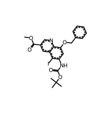 COC(=O)c1cnc2c(OCc3ccccc3)cc(NC(=O)OC(C)(C)C)c(I)c2c1